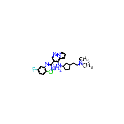 CN(C)CCC1CCC(Nc2c(/C(N)=N/c3cc(F)ccc3Cl)cnn3cccc23)C1